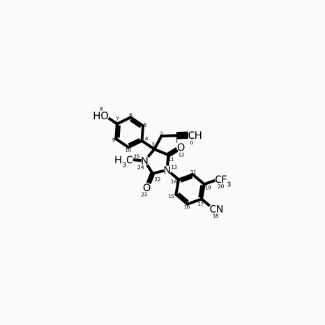 C#CCC1(c2ccc(O)cc2)C(=O)N(c2ccc(C#N)c(C(F)(F)F)c2)C(=O)N1C